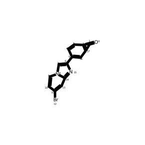 O=c1c2ccc(-c3cn4ccc(Br)cc4n3)cc12